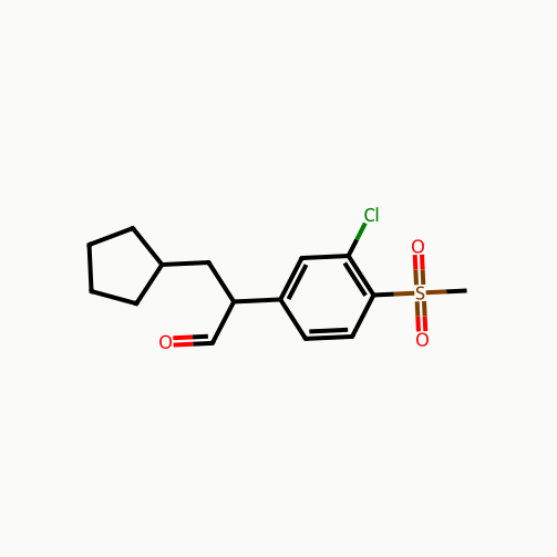 CS(=O)(=O)c1ccc(C(C=O)CC2CCCC2)cc1Cl